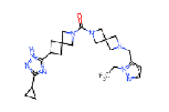 O=C(N1CC2(CC(c3nc(C4CC4)n[nH]3)C2)C1)N1CC2(CN(Cc3ccnn3CC(F)(F)F)C2)C1